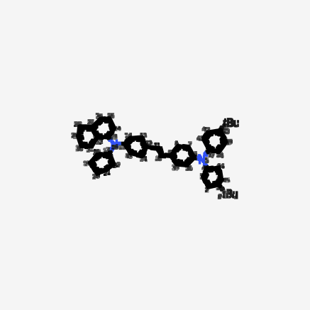 CC(C)(C)c1ccc(N(c2ccc(/C=C/c3ccc(N(c4ccccc4)c4cccc5ccccc45)cc3)cc2)c2ccc(C(C)(C)C)cc2)cc1